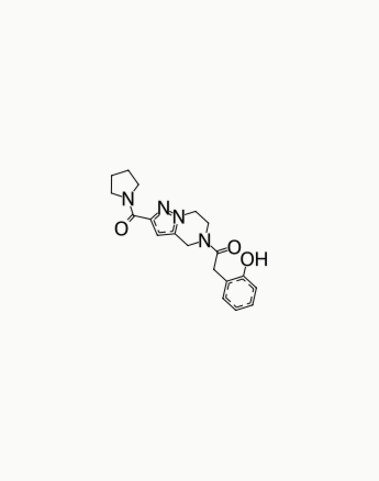 O=C(Cc1ccccc1O)N1CCn2nc(C(=O)N3CCCC3)cc2C1